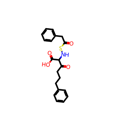 O=C(Cc1ccccc1)SNC(C(=O)O)C(=O)CCCc1ccccc1